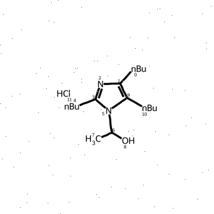 CCCCc1nc(CCCC)n(C(C)O)c1CCCC.Cl